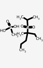 CCCC(C)(CC)S(=O)(=O)C(C)C.CP(=O)(O)O